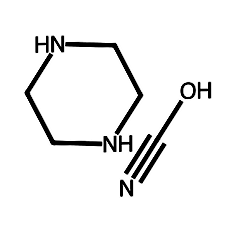 C1CNCCN1.N#CO